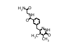 Cc1c(Cc2cccc(C(=O)NCC(N)=O)c2)n[nH]c(=O)c1C